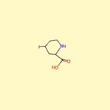 O=C(O)C1CC(I)CCN1